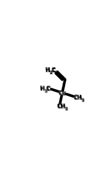 C=[CH][Cu]([CH3])([CH3])[CH3]